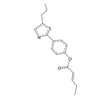 CCC=CC(=O)Oc1ccc(-c2ncc(CCC)s2)cc1